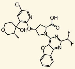 C[C@H]1COCC[C@]1(O)c1cc(Cl)cnc1O[C@H]1C[C@@H](C(=O)O)N(c2nc(C(F)F)nc3c2oc2ccccc23)C1